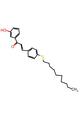 CCCCCCCCCCSc1ccc(C=CC(=O)c2cccc(O)c2)cc1